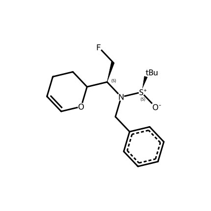 CC(C)(C)[S@@+]([O-])N(Cc1ccccc1)[C@H](CF)C1CCC=CO1